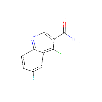 NC(=O)c1cnc2ccc(F)cc2c1Cl